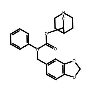 O=C(OC1CN2CCC1CC2)N(Cc1ccc2c(c1)OCO2)c1ccccc1